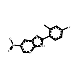 Cc1cc(Br)ccc1-c1nc2cc([N+](=O)[O-])cnc2[nH]1